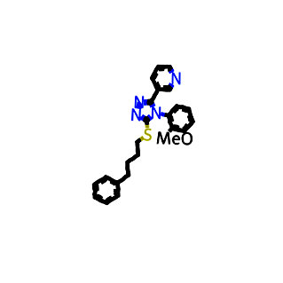 COc1ccccc1-n1c(SCCCCc2ccccc2)nnc1-c1cccnc1